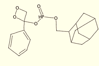 O=[PH](OCC1C2CC3CC(C2)CC1C3)OC1(c2ccccc2)COO1